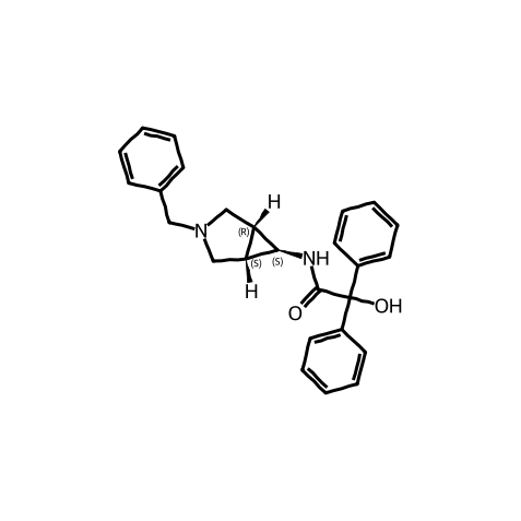 O=C(N[C@H]1[C@@H]2CN(Cc3ccccc3)C[C@@H]21)C(O)(c1ccccc1)c1ccccc1